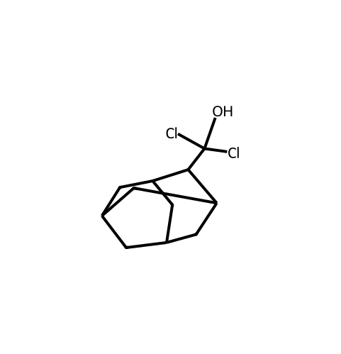 OC(Cl)(Cl)C1C2CC3CC(C2)CC1C3